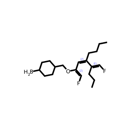 BC1CCC(COC(=C\F)/C=C(CCCC)\C(=C\F)CCC)CC1